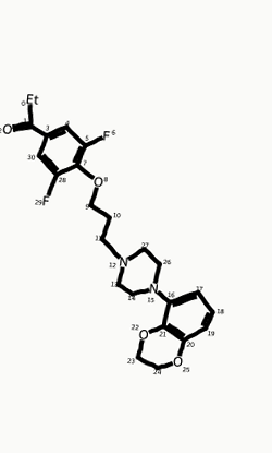 CCC(=O)c1cc(F)c(OCCCN2CCN(c3cccc4c3OCCO4)CC2)c(F)c1